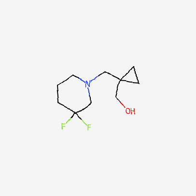 OCC1(CN2CCCC(F)(F)C2)CC1